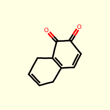 O=C1C=CC2=C(CC=CC2)C1=O